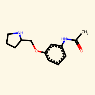 CC(=O)Nc1cccc(OCC2CCCN2)c1